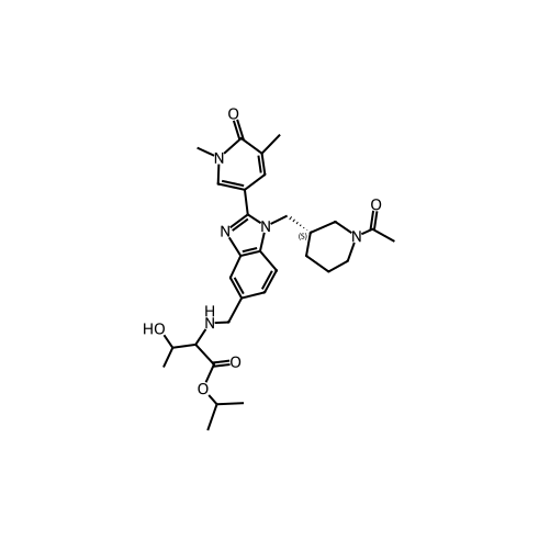 CC(=O)N1CCC[C@H](Cn2c(-c3cc(C)c(=O)n(C)c3)nc3cc(CNC(C(=O)OC(C)C)C(C)O)ccc32)C1